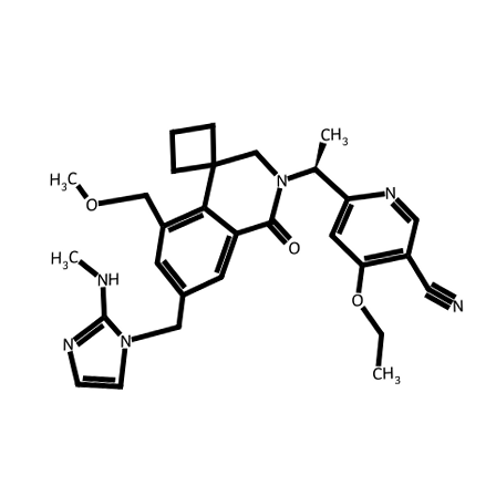 CCOc1cc([C@H](C)N2CC3(CCC3)c3c(COC)cc(Cn4ccnc4NC)cc3C2=O)ncc1C#N